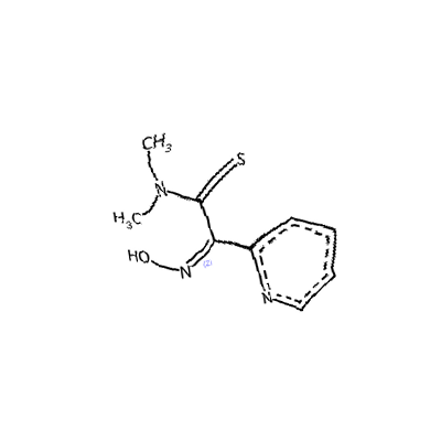 CN(C)C(=S)/C(=N\O)c1ccccn1